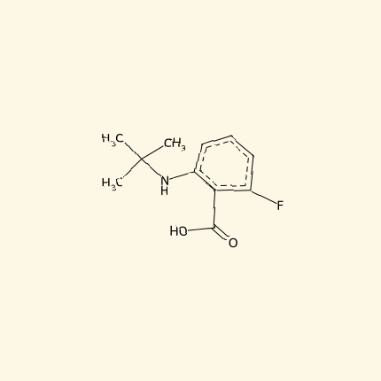 CC(C)(C)Nc1cccc(F)c1C(=O)O